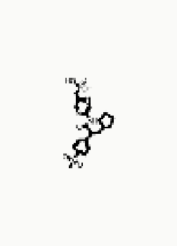 CS(=O)(=O)c1ccc(C(CC2CCCC2)C(=O)Nc2cnc(CP(=O)(O)O)cn2)cc1